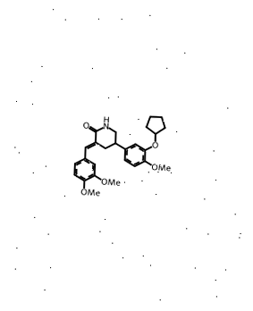 COc1ccc(C=C2CC(c3ccc(OC)c(OC4CCCC4)c3)CNC2=O)cc1OC